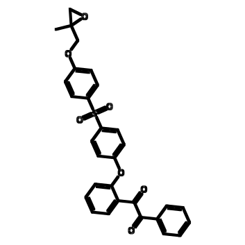 CC1(COc2ccc(S(=O)(=O)c3ccc(Oc4ccccc4C(=O)C(=O)c4ccccc4)cc3)cc2)CO1